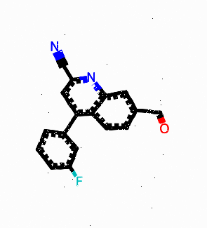 N#Cc1cc(-c2cccc(F)c2)c2ccc(C=O)cc2n1